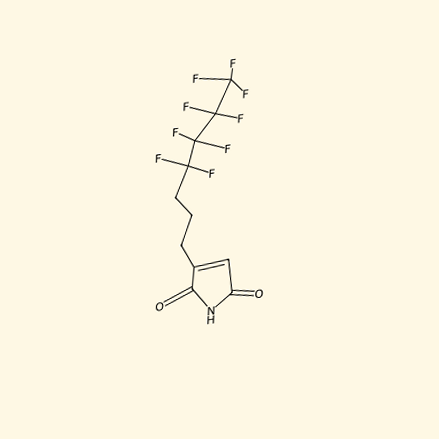 O=C1C=C(CCCC(F)(F)C(F)(F)C(F)(F)C(F)(F)F)C(=O)N1